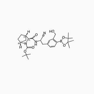 CC(C)(C)OC(=O)N1[C@@H]2CC[C@@H](C2)[C@H]1C(=O)NC(C#N)Cc1ccc(B2OC(C)(C)C(C)(C)O2)c(CO)c1